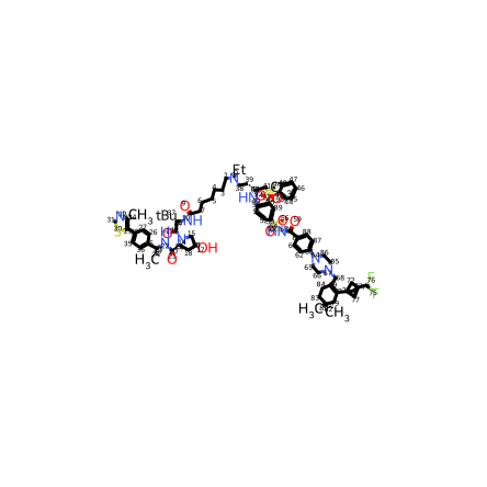 CCN(CCCCCCC(=O)N[C@H](C(=O)N1C[C@H](O)C[C@H]1C(=O)N[C@@H](C)c1ccc(-c2scnc2C)cc1)C(C)(C)C)CC[C@H](CSc1ccccc1)Nc1ccc(S(=O)(=O)NC(=O)c2ccc(N3CCN(CC4=C(C56CC(C(F)F)(C5)C6)CC(C)(C)CC4)CC3)cc2)cc1S(=O)(=O)C(F)(F)F